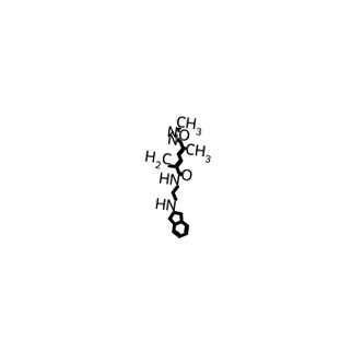 C=C/C(=C\C=C(/C)c1nnc(C)o1)C(=O)NCCCNC1CC2C=CC=CC2C1